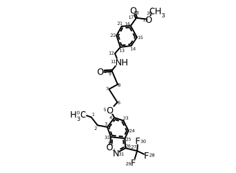 CCCc1c(OCCCC(=O)NCc2ccc(C(=O)OC)cc2)ccc2c(C(F)(F)F)noc12